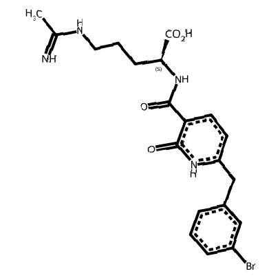 CC(=N)NCCC[C@H](NC(=O)c1ccc(Cc2cccc(Br)c2)[nH]c1=O)C(=O)O